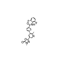 Cc1ncc(-c2nn(C)c(=O)o2)cc1-c1ccc(C(=O)Nc2c(F)cccc2F)s1